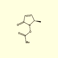 C[C@@H]1C=CC(=O)N1OC(=O)C(C)(C)C